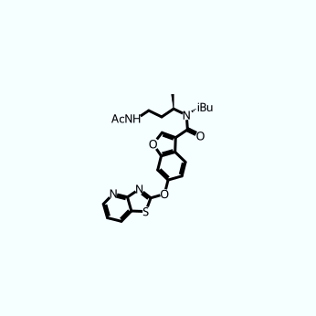 CC[C@@H](C)N(C(=O)c1coc2cc(Oc3nc4ncccc4s3)ccc12)[C@H](C)CCNC(C)=O